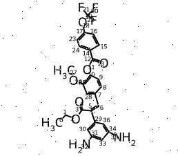 CCOC(=O)C(=Cc1ccc(OC(=O)c2ccc(OC(F)(F)F)cc2)c(OC)c1)c1cc(N)cc(N)c1